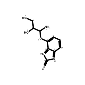 CC(C)(C)CC(O)C(N)Oc1cccc2c1=NC(=O)N=2